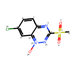 CS(=O)(=O)c1nc2ccc(Cl)cc2[n+]([O-])n1